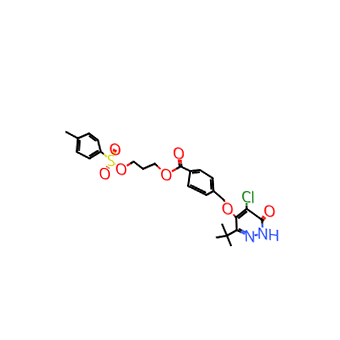 Cc1ccc(S(=O)(=O)OCCCOC(=O)c2ccc(COc3c(C(C)(C)C)n[nH]c(=O)c3Cl)cc2)cc1